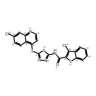 O=C(Nc1nnc(Sc2ccnc3cc(Cl)ccc23)s1)c1sc2ccccc2c1Cl